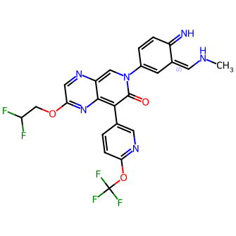 CN/C=C1/C=C(n2cc3ncc(OCC(F)F)nc3c(-c3ccc(OC(F)(F)F)nc3)c2=O)C=CC1=N